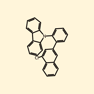 Clc1cc(-c2ccccc2-n2c3ccccc3c3ccccc32)cc2ccccc12